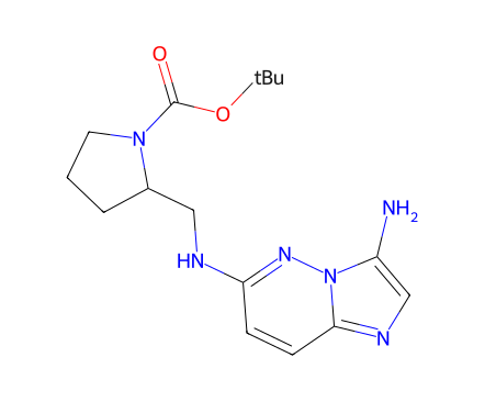 CC(C)(C)OC(=O)N1CCCC1CNc1ccc2ncc(N)n2n1